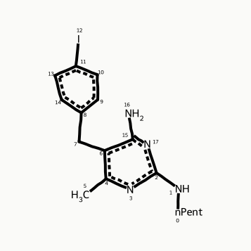 CCCCCNc1nc(C)c(Cc2ccc(I)cc2)c(N)n1